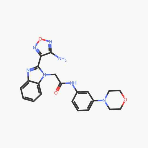 Nc1nonc1-c1nc2ccccc2n1CC(=O)Nc1cccc(N2CCOCC2)c1